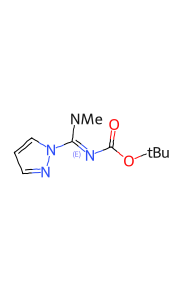 CN/C(=N\C(=O)OC(C)(C)C)n1cccn1